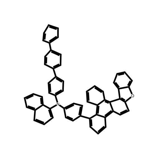 c1ccc(-c2ccc(-c3ccc(N(c4ccc(-c5cccc6c7ccc8oc9ccccc9c8c7c7ccccc7c56)cc4)c4cccc5ccccc45)cc3)cc2)cc1